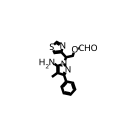 Cc1c(-c2ccccc2)nn(C(COC=O)c2cscn2)c1N